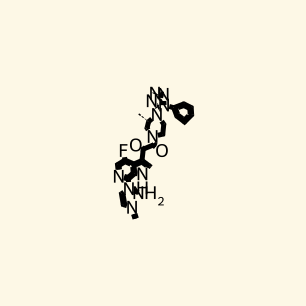 C=N/C=C\N(N)c1ncc(F)c2c(C(=O)C(=O)N3CCN(c4nnnn4-c4ccccc4)[C@@H](C)C3)c[nH]c12